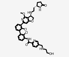 COc1nc(-c2cccc(-c3cccc(NC(=O)c4ccc(CNCCO)cn4)c3Cl)c2Cl)cc2c1[C@@H](NCC[C@@H]1CCC(=O)N1)CO2